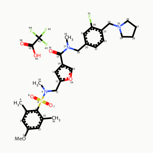 COc1cc(C)c(S(=O)(=O)N(C)Cc2cc(C(=O)N(C)Cc3ccc(CN4CCCC4)c(F)c3)co2)c(C)c1.O=C(O)C(F)(F)F